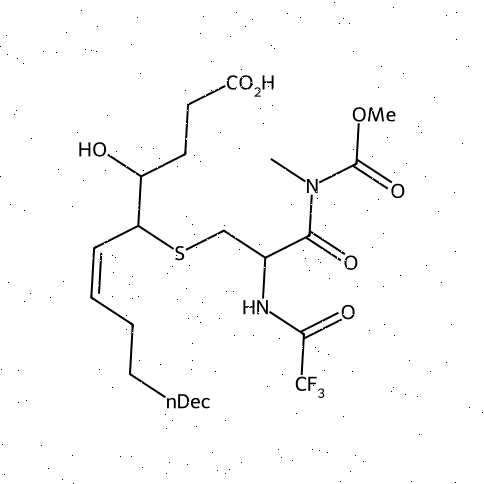 CCCCCCCCCCCC/C=C\C(SCC(NC(=O)C(F)(F)F)C(=O)N(C)C(=O)OC)C(O)CCC(=O)O